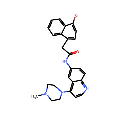 CN1CCN(c2ccnc3ccc(NC(=O)Cc4ccc(Br)c5ccccc45)cc23)CC1